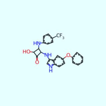 O=C1C(O)C(Nc2ccc(C(F)(F)F)cc2)C1Nc1c[nH]c2ccc(Oc3ccccc3)cc12